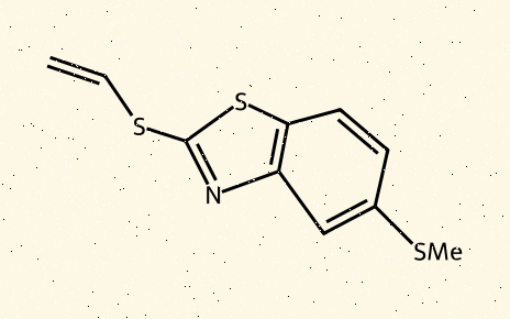 C=CSc1nc2cc(SC)ccc2s1